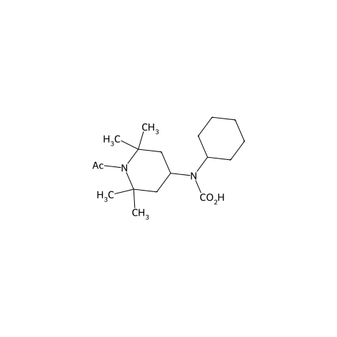 CC(=O)N1C(C)(C)CC(N(C(=O)O)C2CCCCC2)CC1(C)C